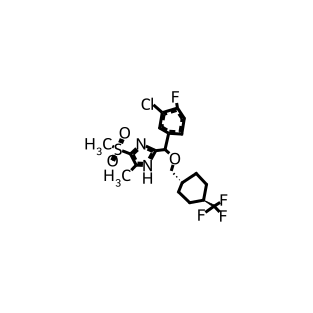 Cc1[nH]c(C(OC[C@H]2CC[C@H](C(F)(F)F)CC2)c2ccc(F)c(Cl)c2)nc1S(C)(=O)=O